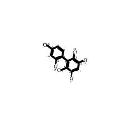 Clc1ccc(-c2c(Cl)c(Cl)cc(Cl)c2Cl)c(Cl)c1